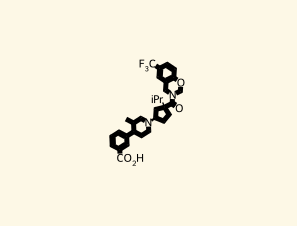 CC1CN([C@@H]2CC[C@@](C(=O)N3COc4ccc(C(F)(F)F)cc4C3)(C(C)C)C2)CCC1c1cccc(C(=O)O)c1